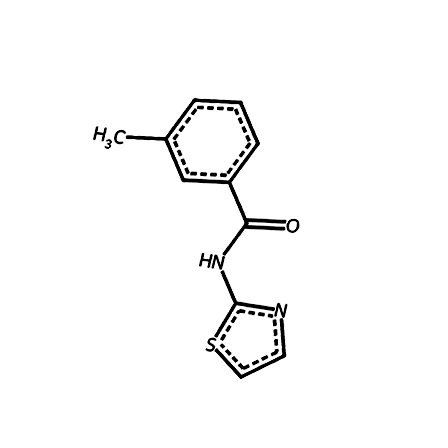 Cc1cccc(C(=O)Nc2nccs2)c1